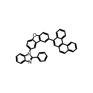 c1ccc(-c2nc3ccccc3n2-c2ccc3oc4ccc(-c5cc6ccc7ccccc7c6c6ccccc56)cc4c3c2)cc1